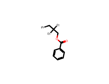 CCC(CC)(COC(=O)c1ccccc1)CC(C)C